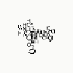 C=C1CN=C(NC(=O)OC(C)(C)C)C(n2c(C)ccc(NC(=O)Cc3ccccc3)c2=O)=C1CNC=O.O=C(Cl)Cc1ccccc1